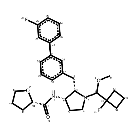 COC(N1CC[C@H](NC(=O)[C@@H]2CCCO2)[C@@H]1Cc1cccc(-c2cccc(F)c2)c1)C1(F)CCC1